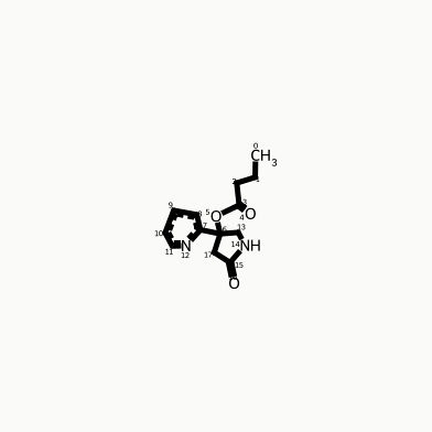 CCCC(=O)OC1(c2ccccn2)CNC(=O)C1